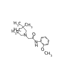 CCN(CC(=O)Nc1ccccc1OC)CC(C)(C)C